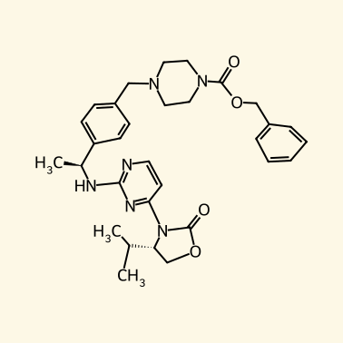 CC(C)[C@H]1COC(=O)N1c1ccnc(N[C@@H](C)c2ccc(CN3CCN(C(=O)OCc4ccccc4)CC3)cc2)n1